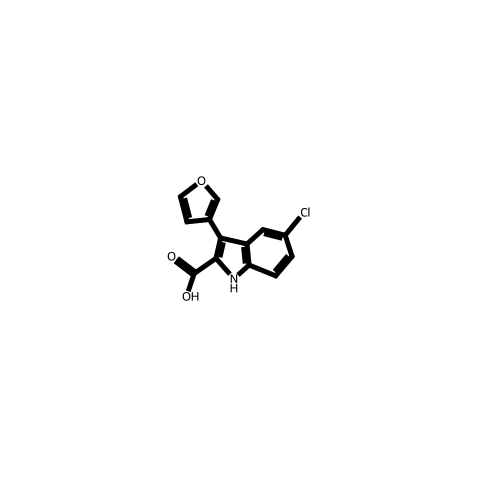 O=C(O)c1[nH]c2ccc(Cl)cc2c1-c1ccoc1